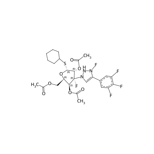 CC(=O)OC[C@H]1O[C@H](SC2CCCCC2)[C@H](OC(C)=O)[C@@](F)(N2C=C(c3cc(F)c(F)c(F)c3)N(F)N2)[C@H]1OC(C)=O